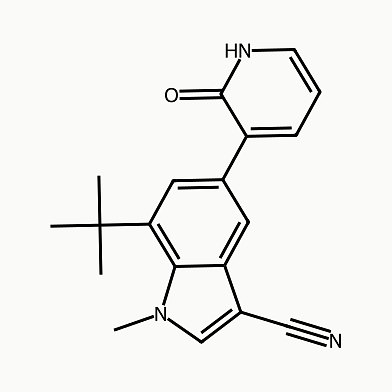 Cn1cc(C#N)c2cc(-c3ccc[nH]c3=O)cc(C(C)(C)C)c21